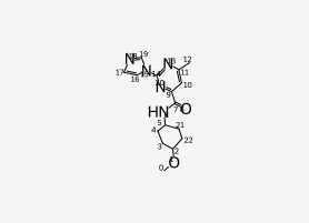 COC1CCC(NC(=O)c2cc(C)nc(-n3ccnc3)n2)CC1